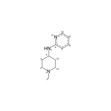 CN1CCC(Nc2cc[c]cn2)CC1